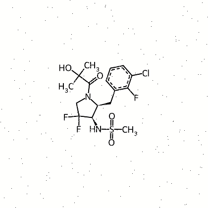 CC(C)(O)C(=O)N1CC(F)(F)[C@H](NS(C)(=O)=O)[C@@H]1Cc1cccc(Cl)c1F